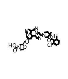 Cc1cccc(Cl)c1C(=O)NC1(C)CCN(c2cnc(-c3cc(OC[C@@H]4CN(C(=O)O)CCO4)cn4ncc(C#N)c34)cn2)CC1